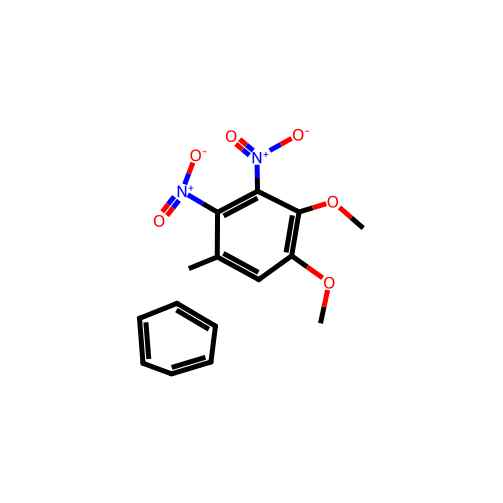 COc1cc(C)c([N+](=O)[O-])c([N+](=O)[O-])c1OC.c1ccccc1